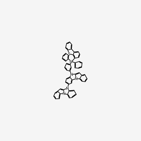 c1ccc([Si](c2ccccc2)(c2cccc(-n3c4ccc(-n5c6ccccc6n6c7ccccc7cc56)cc4n4c5ccccc5cc34)c2)c2cccc3c2sc2ccccc23)cc1